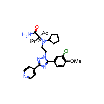 COc1ccc(-c2nc(-c3ccncc3)nn2CCN(C2CCCC2)[C@](C(C)=O)(C(N)=O)C(C)C)cc1Cl